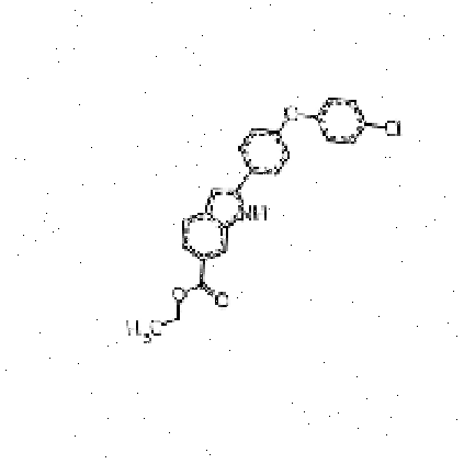 CCOC(=O)c1ccc2cc(-c3ccc(Oc4ccc(Cl)cc4)cc3)[nH]c2c1